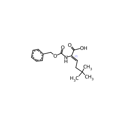 CC(C)(C)C/C=C(\NC(=O)OCc1ccccc1)C(=O)O